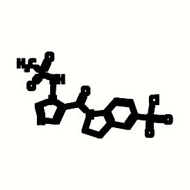 CS(=O)(=O)Nn1cncc1C(=O)N1CCc2cc(S(=O)(=O)Cl)ccc21